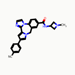 CN1CC(NC(=O)c2ccc3c(c2)Cn2cc(-c4ccc(C#N)cc4)cc2-c2nccn2-3)C1